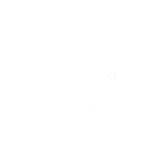 CC(C)=C(C(=O)Cl)C(C)C